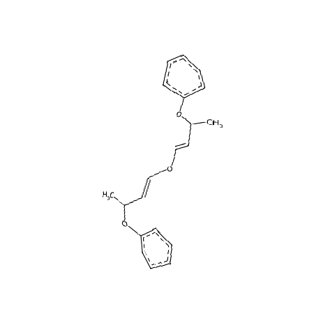 CC(/C=C/O/C=C/C(C)Oc1ccccc1)Oc1ccccc1